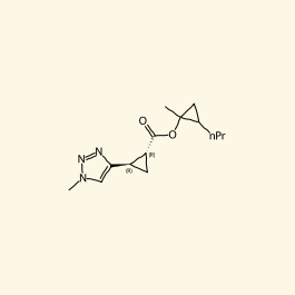 CCCC1CC1(C)OC(=O)[C@@H]1C[C@H]1c1cn(C)nn1